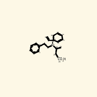 C=C[C@@]1(N(CCc2ccccc2)C(C)CC(=O)O)C=CC=CC1